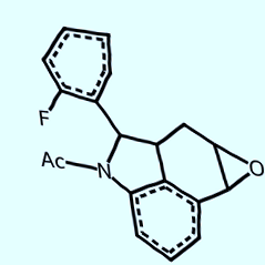 CC(=O)N1c2cccc3c2C(CC2OC32)C1c1ccccc1F